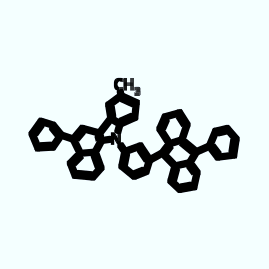 Cc1ccc2c(c1)c1cc(-c3ccccc3)c3ccccc3c1n2-c1cccc(-c2c3ccccc3c(-c3ccccc3)c3ccccc23)c1